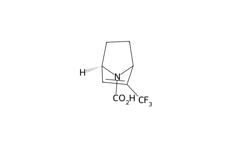 O=C(O)N1C2CC[C@@H]1C=C2C(F)(F)F